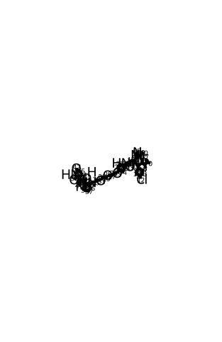 Cc1sc2c(c1C)C(c1ccc(Cl)cc1)=N[C@@H](CC(=O)Nc1ccc(OCCOCCOCCNc3cccc4ncn(C5CCC(=O)NC5=O)c(=O)c34)cc1)c1nnc(C)n1-2